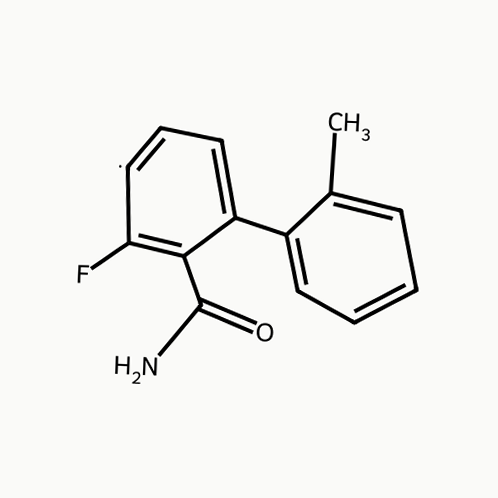 Cc1ccccc1-c1cc[c]c(F)c1C(N)=O